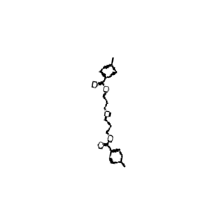 Cc1ccc(C(=O)OCCCOCCCOC(=O)c2ccc(C)cc2)cc1